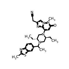 CC[C@H]1CN(C(C)c2ccc3nc(C)sc3c2)[C@H](CC)CN1c1cc(=O)n(C)n2cc(CC#N)nc12